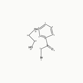 O=C(CBr)c1ccccc1.OCCO